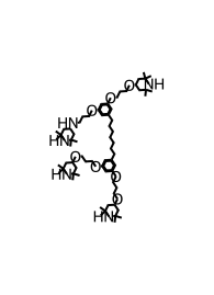 CC1(C)CC(NCCCOc2cc(CCCCCCCc3cc(OCCCOC4CC(C)(C)NC(C)(C)C4)cc(OCCCOC4CC(C)(C)NC(C)(C)C4)c3)cc(OCCCOC3CC(C)(C)NC(C)(C)C3)c2)CC(C)(C)N1